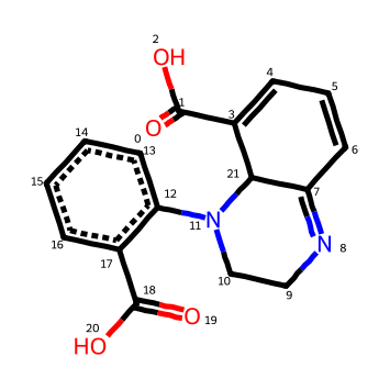 O=C(O)C1=CC=CC2=NCCN(c3ccccc3C(=O)O)C12